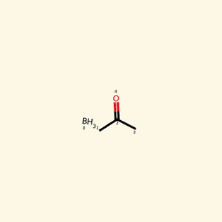 B.CC(C)=O